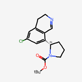 CC(C)(C)OC(=O)N1CCC[C@H]1c1cc(Cl)cc2c1C=NCC2